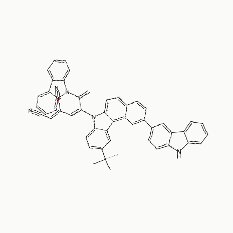 C=C(/C(=C\C(C#N)=C\C#N)n1c2ccc(C(C)(C)C)cc2c2c3cc(-c4ccc5[nH]c6ccccc6c5c4)ccc3ccc21)n1c2ccccc2c2ccccc21